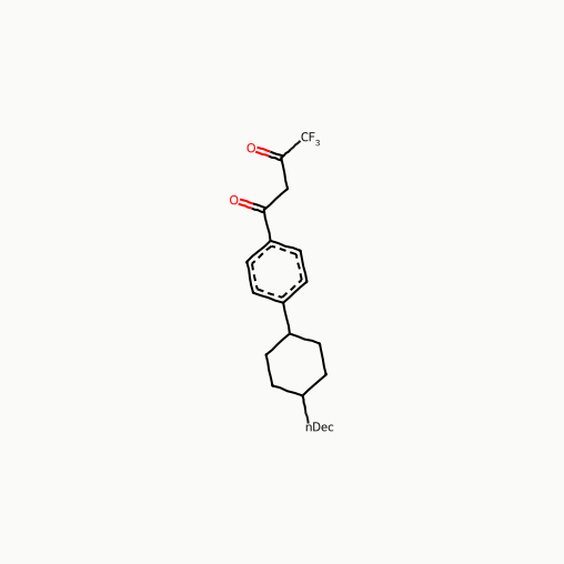 CCCCCCCCCCC1CCC(c2ccc(C(=O)CC(=O)C(F)(F)F)cc2)CC1